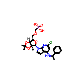 CC(Nc1cc(Cl)nc2c1ccn2[C@@H]1O[C@H](COCP(=O)(O)O)[C@H]2OC(C)(C)O[C@H]21)c1ccccc1